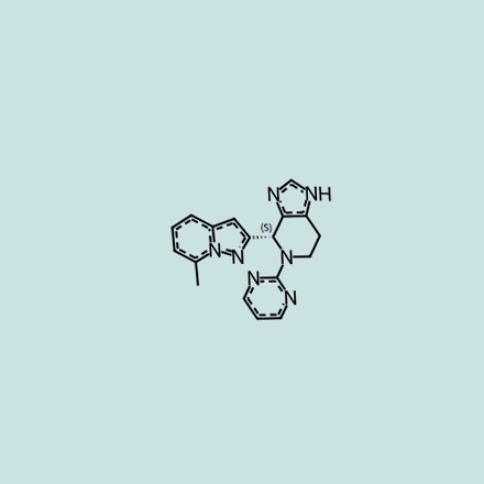 Cc1cccc2cc([C@@H]3c4nc[nH]c4CCN3c3ncccn3)nn12